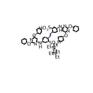 CCN(CC)CC.CCN(CC)CC.O=S(=O)(O)c1cc(Nc2cc(Oc3ccccc3)nc(Oc3ccccc3)n2)ccc1/C=C/c1ccc(Nc2cc(Oc3ccccc3)nc(Oc3ccccc3)n2)cc1S(=O)(=O)O